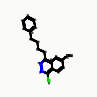 COc1ccc2c(Cl)nnc(CCCCc3ccccc3)c2c1